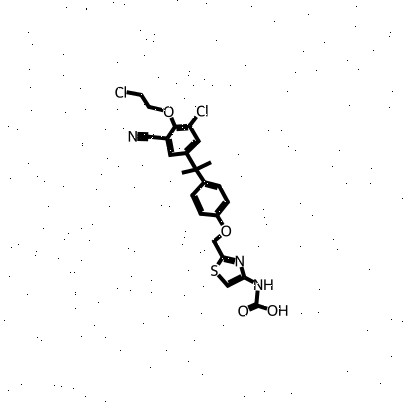 CC(C)(c1ccc(OCc2nc(NC(=O)O)cs2)cc1)c1cc(Cl)c(OCCCl)c(C#N)c1